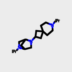 CC(C)N1CCC2(CC1)CC(N1CC3CC1CN3C(C)C)C2